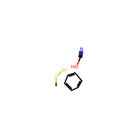 CSS.N#CO.c1ccccc1